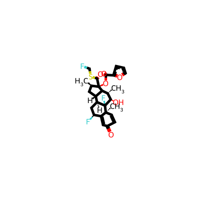 C[C@@H]1C[C@@H]2C([C@H](C)[C@H](O)[C@@]3(F)[C@H]2C[C@H](F)C2=CC(=O)C=C[C@@]23C)[C@@]1(OC(=O)c1ccco1)C(=O)SCF